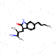 CC/C=C/c1ccc2c(c1)NC(=O)/C2=C\C(C)=C(/C)N